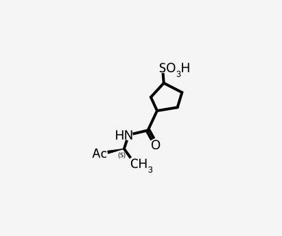 CC(=O)[C@H](C)NC(=O)C1CCC(S(=O)(=O)O)C1